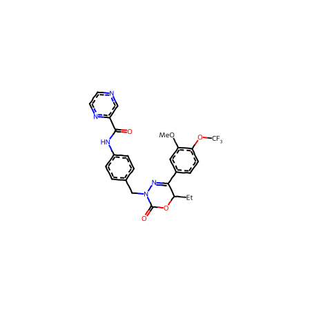 CCC1OC(=O)N(Cc2ccc(NC(=O)c3cnccn3)cc2)N=C1c1ccc(OC(F)(F)F)c(OC)c1